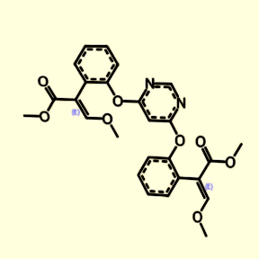 CO/C=C(/C(=O)OC)c1ccccc1Oc1cc(Oc2ccccc2/C(=C\OC)C(=O)OC)ncn1